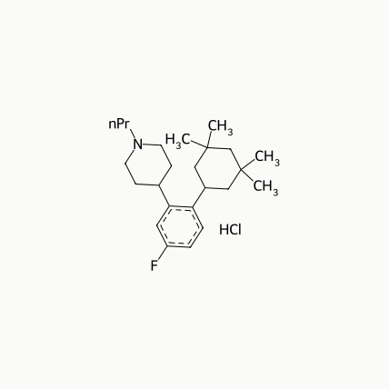 CCCN1CCC(c2cc(F)ccc2C2CC(C)(C)CC(C)(C)C2)CC1.Cl